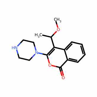 COC(C)c1c(N2CCNCC2)oc(=O)c2ccccc12